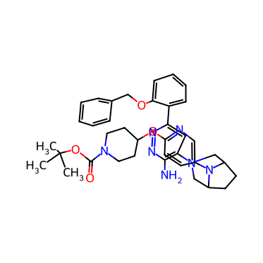 CC(C)(C)OC(=O)N1CCC(Oc2ccc(N3C4CCC3CN(c3cc(-c5ccccc5OCc5ccccc5)nnc3N)C4)cn2)CC1